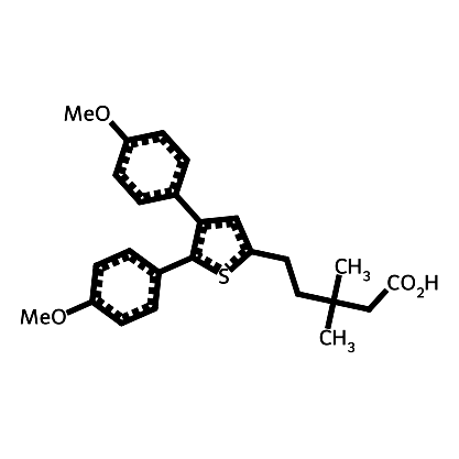 COc1ccc(-c2cc(CCC(C)(C)CC(=O)O)sc2-c2ccc(OC)cc2)cc1